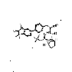 CN1C(=O)C(C)(C)c2ccc(-c3ccc(C[C@@H](C#N)NC(=O)[C@@H]4[C@H]5CC[C@H](C5)N4C(=O)OC(C)(C)C)cc3)cc21